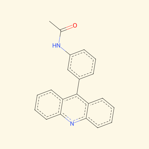 CC(=O)Nc1cccc(-c2c3ccccc3nc3ccccc23)c1